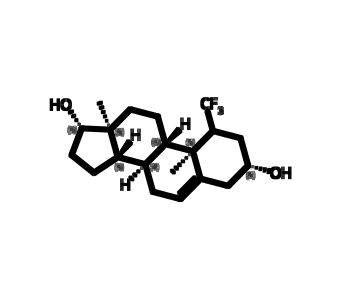 C[C@]12CC[C@H]3[C@@H](CC=C4C[C@@H](O)CC(C(F)(F)F)[C@@]43C)[C@@H]1CC[C@@H]2O